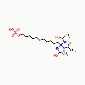 CC(O)NC(CCCCCCCCCCCOS(=O)(=O)O)(NC(C)O)NC(C)O